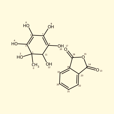 CC1(O)C(O)=C(O)C(O)=C(O)C1O.O=C1OC(=O)c2ccccc21